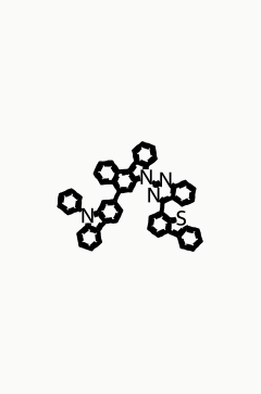 c1ccc(-n2c3ccccc3c3ccc(-c4cc5c(c6ccccc46)c4ccccc4n5-c4nc(-c5cccc6c5sc5ccccc56)c5ccccc5n4)cc32)cc1